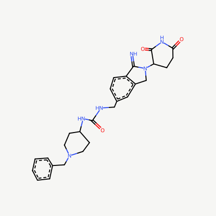 N=C1c2ccc(CNC(=O)NC3CCN(Cc4ccccc4)CC3)cc2CN1C1CCC(=O)NC1=O